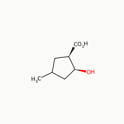 CC1C[C@H](O)[C@H](C(=O)O)C1